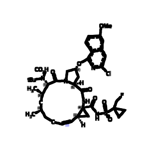 COc1ccc2c(O[C@@H]3C[C@H]4C(=O)N[C@]5(C(=O)NS(=O)(=O)C6(CF)CC6)C[C@H]5/C=C\CC[C@@H](C)C[C@@H](C)[C@H](N(C(=O)O)C(C)(C)C)C(=O)N4C3)nc(Cl)cc2c1